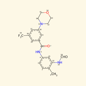 Cc1ccc(NC(=O)c2cc(N3CCOCC3)cc(C(F)(F)F)c2)cc1NC=O